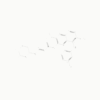 CCOc1cc2ncc(C#N)c(Nc3cccc(Br)c3)c2cc1NC(=O)C=CCN1CCOCC1